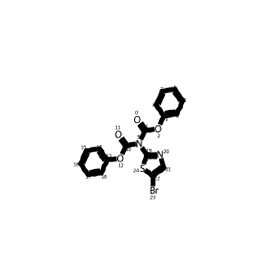 O=C(Oc1ccccc1)N(C(=O)Oc1ccccc1)c1ncc(Br)s1